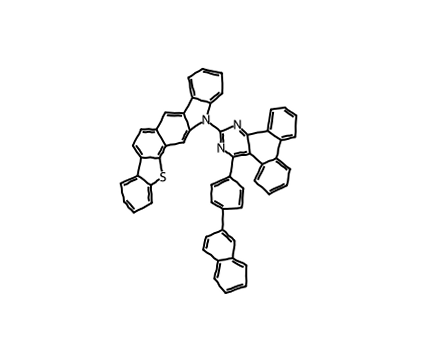 c1ccc2cc(-c3ccc(-c4nc(-n5c6ccccc6c6cc7ccc8c9ccccc9sc8c7cc65)nc5c6ccccc6c6ccccc6c45)cc3)ccc2c1